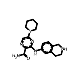 NC(=O)c1ncc(N2CCCCC2)nc1Nc1ccc2c(c1)CCNC2